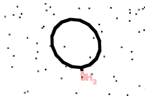 BC1CCCCCCCCCCCCCCC1